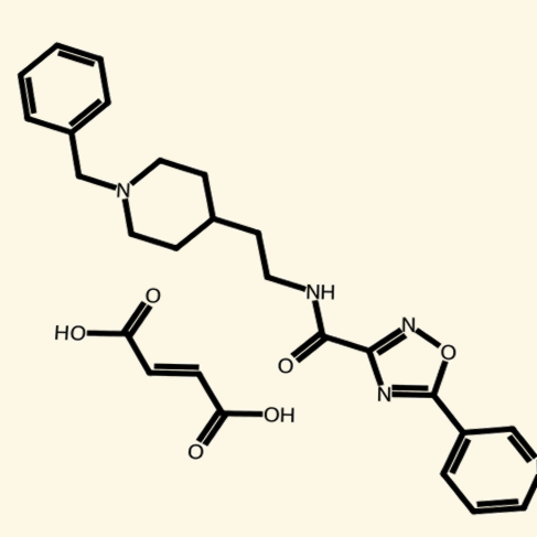 O=C(NCCC1CCN(Cc2ccccc2)CC1)c1noc(-c2cccnc2)n1.O=C(O)C=CC(=O)O